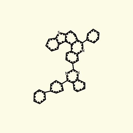 c1ccc(-c2ccc(-c3nc(-c4ccc5c(c4)nc(-c4ccccc4)c4ccc6sc7ccccc7c6c45)nc4ccccc34)cc2)cc1